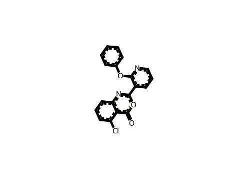 O=c1oc(-c2cccnc2Oc2ccccc2)nc2cccc(Cl)c12